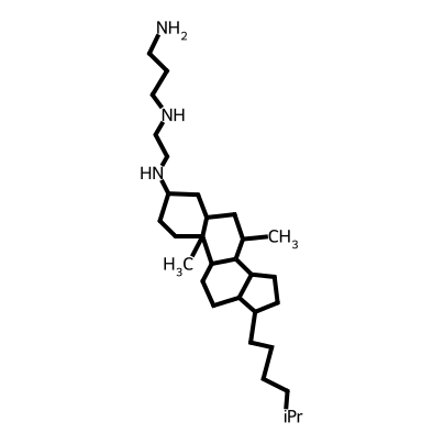 CC(C)CCCCC1CCC2C1CCC1C2C(C)CC2CC(NCCNCCCN)CCC21C